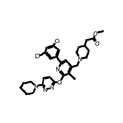 COC(=O)CC1CCN(Cc2cc(-c3cc(Cl)cc(Cl)c3)nc(Oc3ccc(N4CCCCC4)nn3)c2C)CC1